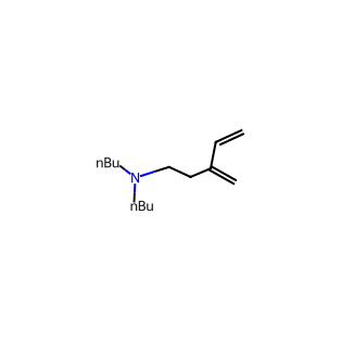 C=CC(=C)CCN(CCCC)CCCC